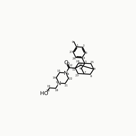 Cc1ccc(C23CC4CC(CC(C(=O)N5CCN(CCO)CC5)(C4)C2)C3)cc1